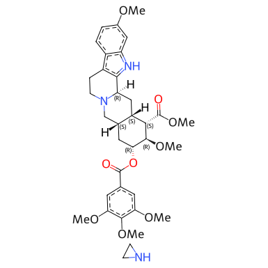 C1CN1.COC(=O)[C@H]1[C@H]2C[C@@H]3c4[nH]c5cc(OC)ccc5c4CCN3C[C@H]2C[C@@H](OC(=O)c2cc(OC)c(OC)c(OC)c2)[C@@H]1OC